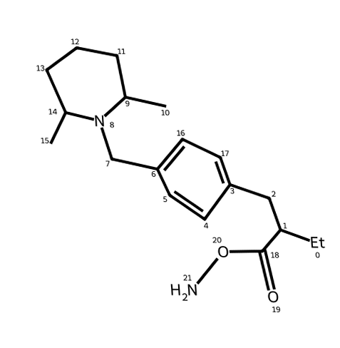 CCC(Cc1ccc(CN2C(C)CCCC2C)cc1)C(=O)ON